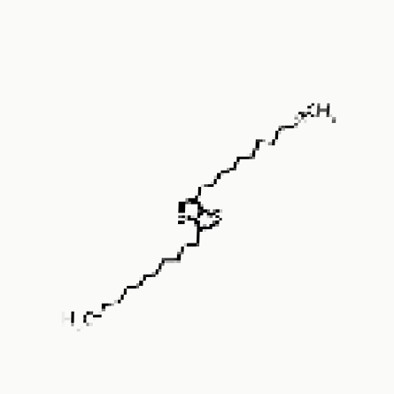 CCCCCCCCCCCCc1csc2c(CCCCCCCCCCCC)csc12